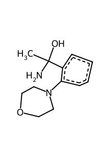 CC(N)(O)c1ccccc1N1CCOCC1